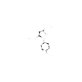 CCCCc1cc(N)n(-c2ccc(C(C)(C)C)cc2)n1